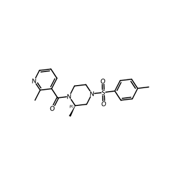 Cc1ccc(S(=O)(=O)N2CCN(C(=O)c3cccnc3C)[C@H](C)C2)cc1